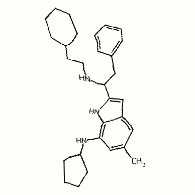 Cc1cc(NC2CCCC2)c2[nH]c(C(Cc3ccccc3)NCCC3CCCCC3)cc2c1